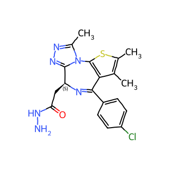 Cc1sc2c(c1C)C(c1ccc(Cl)cc1)=N[C@@H](CC(=O)NN)c1nnc(C)n1-2